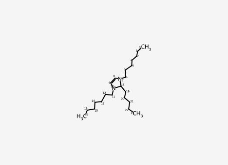 CCCCCCCN1C=CN(CCCCCCC)C1CCCCC